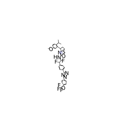 COc1ccc(C(C)C)c(C2CCS/C2=N\C(=O)NC(F)C(F)c2ccc(-c3ncn(-c4ccc(OC(F)(F)F)cc4)n3)cc2)c1